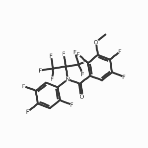 COc1c(F)c(F)cc(C(=O)N(c2cc(F)c(F)cc2F)C(F)(C(F)(F)F)C(F)(F)F)c1F